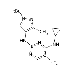 Cc1nn(C(C)(C)C)cc1Nc1ncc(C(F)(F)F)c(NC2CC2)n1